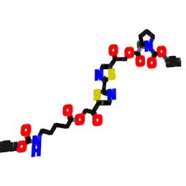 CC(C)(C)OC(=O)NCCCCC(=O)OCC(=O)c1cnc(-c2ncc(C(=O)COC(=O)[C@@H]3CCCN3C(=O)OC(C)(C)C)s2)s1